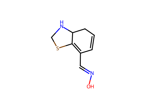 ON=CC1=C2SCNC2CC=C1